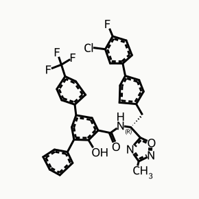 Cc1noc([C@@H](Cc2ccc(-c3ccc(F)c(Cl)c3)cc2)NC(=O)c2cc(-c3ccc(C(F)(F)F)cc3)cc(-c3ccccc3)c2O)n1